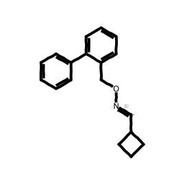 [C](=N\OCc1ccccc1-c1ccccc1)/C1CCC1